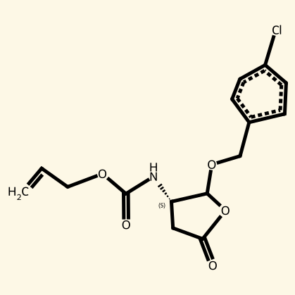 C=CCOC(=O)N[C@H]1CC(=O)OC1OCc1ccc(Cl)cc1